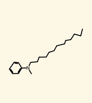 CCCCCCCCCCCCCN(C)c1ccccc1